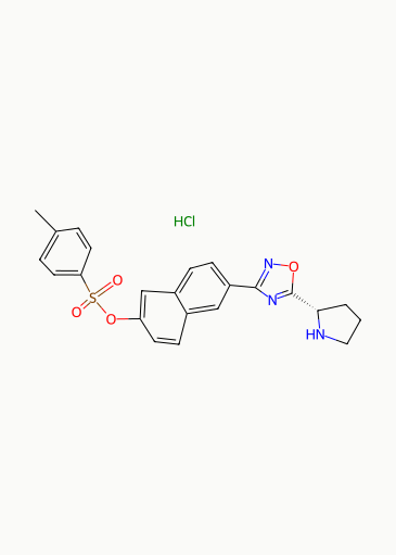 Cc1ccc(S(=O)(=O)Oc2ccc3cc(-c4noc([C@@H]5CCCN5)n4)ccc3c2)cc1.Cl